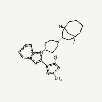 Cn1cc(Cl)c(-c2nc3ccccc3n2C2CCN([C@@H]3C[C@@H]4CCCC[C@@H](C4)C3)CC2)n1